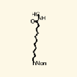 CCCCCCCCCCCCCCCCCCCC(=O)NO